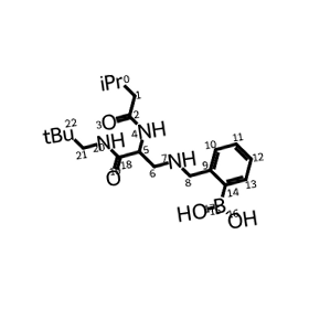 CC(C)CC(=O)NC(CNCc1ccccc1B(O)O)C(=O)NCC(C)(C)C